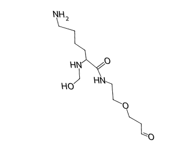 NCCCCC(NCO)C(=O)NCCOCCC=O